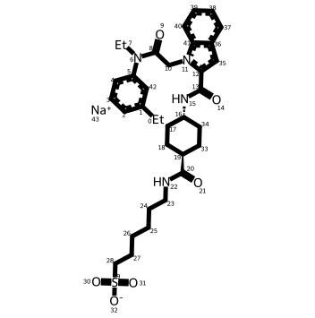 CCc1cccc(N(CC)C(=O)Cn2c(C(=O)N[C@H]3CC[C@H](C(=O)NCCCCCCS(=O)(=O)[O-])CC3)cc3ccccc32)c1.[Na+]